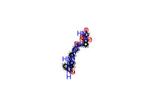 O=C1CCC(N2C(=O)c3cccc(NCC(=O)N4CCN(c5ccc(Nc6ncc7cc8n(c7n6)C6(CCCCC6)CNC8=O)nc5)CC4)c3C2=O)C(=O)N1